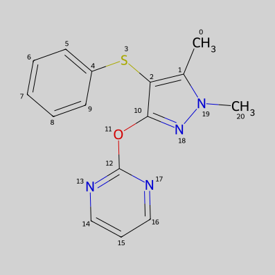 Cc1c(Sc2ccccc2)c(Oc2ncccn2)nn1C